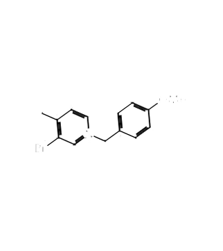 COc1ccc(C[n+]2ccc(C)c(Br)c2)cc1